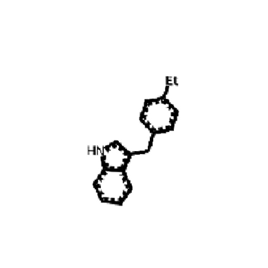 CCc1ccc(Cc2c[nH]c3ccccc23)cc1